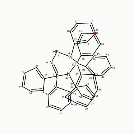 c1ccc(N2PN=P(c3ccccc3)(c3ccccc3)N(c3ccccc3)P2(c2ccccc2)(c2ccccc2)c2ccccc2)cc1